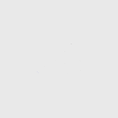 NC(=O)CCC(=O)c1c(O)cccc1O